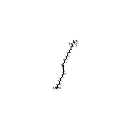 CC(O)NCCCCCCCCCCCCC#CC#CCCCCCCCCC(N)=O